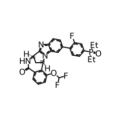 CCP(=O)(CC)c1ccc(-c2ccc3nc4n(c3c2)[C@@H]2C[C@H]4NC(=O)c3cccc(OC(F)F)c32)c(F)c1